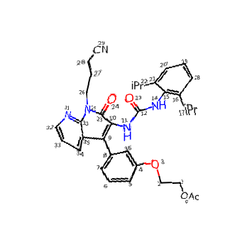 CC(=O)OCCOc1cccc(-c2c(NC(=O)Nc3c(C(C)C)cccc3C(C)C)c(=O)n(CCCC#N)c3ncccc23)c1